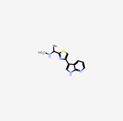 CC(C)(C)C(NC(=O)O)c1nc(-c2c[nH]c3ncccc23)cs1